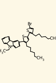 CCCCCCc1cc(-c2sc(Br)cc2CCCCCC)sc1-c1ccc2c(c1)c1ccccc1n2CC